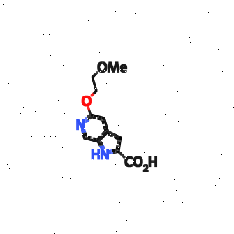 COCCOc1cc2cc(C(=O)O)[nH]c2cn1